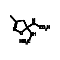 CC1=NOC(BC(=O)O)(BC(=O)O)C1